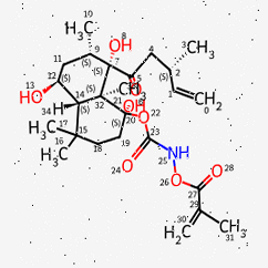 C=C[C@@H](C)CC(=O)[C@]1(O)[C@@H](C)C[C@H](O)[C@H]2C(C)(C)CC[C@](O)(OC(=O)NOC(=O)C(=C)C)[C@@]21C